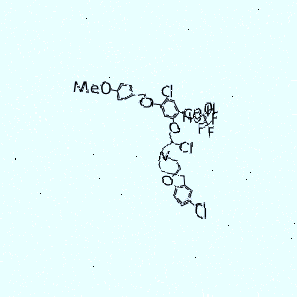 COc1ccc(COc2cc(OCC(Cl)CN3CCC4(CC3)Cc3cc(Cl)ccc3O4)c(C(=O)O)cc2Cl)cc1.O=C(O)C(F)(F)F